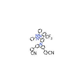 N#Cc1cccc(-c2ccc3c(c2)c2cc(-c4cccc(C#N)c4)ccc2n3-c2ccc(-c3ccccc3C(F)(F)F)c(-c3nc(-c4ccccc4)nc(-c4ccccc4)n3)c2)c1